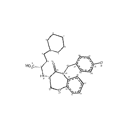 O=C(O)[C@H](CCC1CCCCC1)N[C@H]1COc2ccccc2N(Cc2ccc(Cl)cc2)C1=O